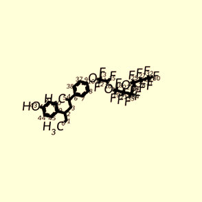 CCC(CC(C)c1ccc(OC(F)(F)C(F)OC(F)(F)C(F)(OC(F)(F)C(F)(F)C(F)(F)F)C(F)(F)F)cc1)c1ccc(O)cc1